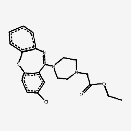 CCOC(=O)CN1CCN(C2=Nc3ccccc3Sc3ccc(Cl)cc32)CC1